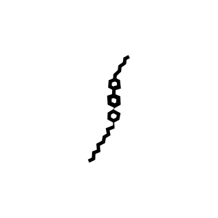 CCCCCCCCCC[C@H]1CC[C@H](c2ccc(C3=CCC(CCCCCC)CC3)cc2)CC1